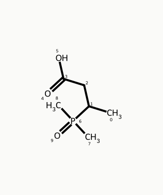 CC(CC(=O)O)P(C)(C)=O